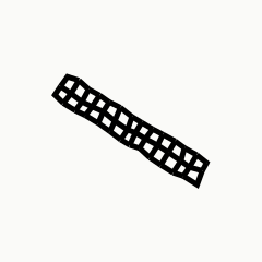 C1C2CC3C4C5C6C7C8C9C%10C%11C%12C%13C%14CC%15CC%16C%17C%18C%19C%20C%21C%22C%23C%24C%25C%26C1C23C%264C%255C%246C%237C%228C%219C%20%10C%19%11C%18%12C%17%13C%15%16%14